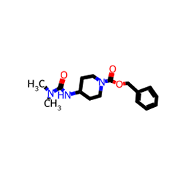 CN(C)C(=O)NC1CCN(C(=O)OCc2ccccc2)CC1